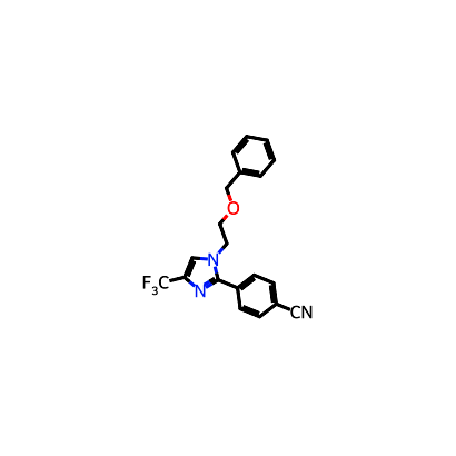 N#Cc1ccc(-c2nc(C(F)(F)F)cn2CCOCc2ccccc2)cc1